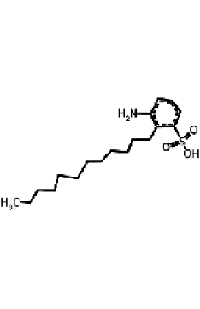 CCCCCCCCCCCCc1c(N)cccc1S(=O)(=O)O